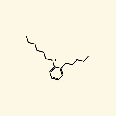 [CH2]CCCCc1ccccc1NCCCCCC